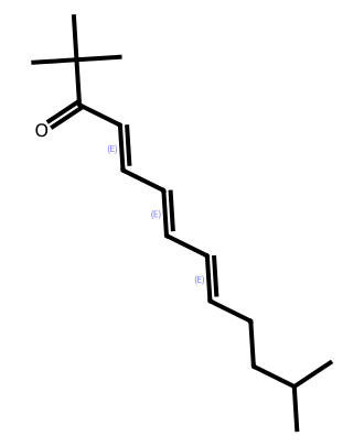 CC(C)CC/C=C/C=C/C=C/C(=O)C(C)(C)C